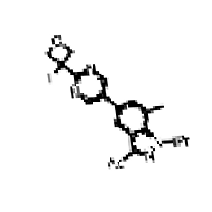 CC(=O)c1nn(C(C)C)c2c(C)cc(-c3cnc(C4(F)COC4)nc3)cc12